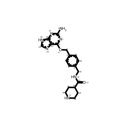 Nc1nc(OCc2ccc(CNC(=O)C3CCNCC3)cc2)c2nc[nH]c2n1